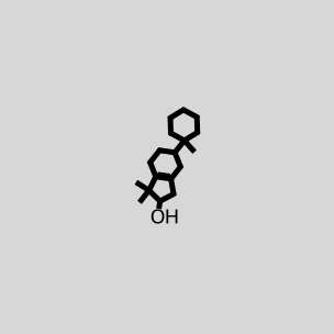 CC1(C2CCC3=C(C2)CC(O)C3(C)C)CCCCC1